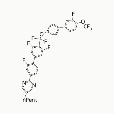 CCCCCc1cnc(-c2ccc(-c3cc(F)c(C(F)(F)Oc4ccc(-c5ccc(OC(F)(F)F)c(F)c5)cc4)c(F)c3)c(F)c2)nc1